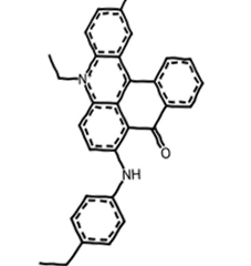 CCc1ccc(Nc2ccc3c4c2C(=O)c2ccccc2-c4c2cc(CC)ccc2[n+]3CC)cc1